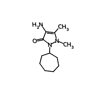 Cc1c(N)c(=O)n(C2CCCCCC2)n1C